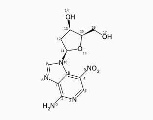 Nc1ncc([N+](=O)[O-])c2c1ncn2[C@H]1C[C@@H](O)[C@@H](CO)O1